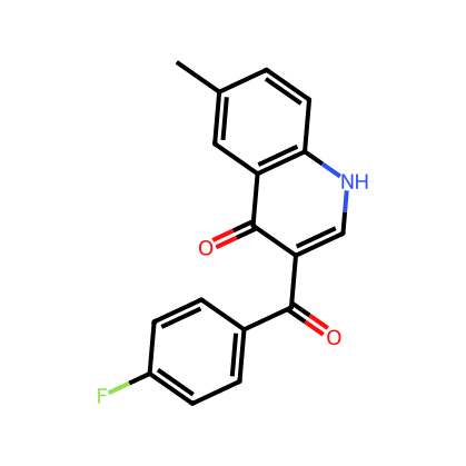 Cc1ccc2[nH]cc(C(=O)c3ccc(F)cc3)c(=O)c2c1